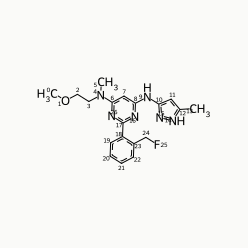 COCCN(C)c1cc(Nc2cc(C)[nH]n2)nc(-c2ccccc2CF)n1